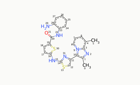 Cc1nc2c(C)cccn2c1-c1csc(Nc2ccc(C(=O)Nc3ccccc3N)s2)n1